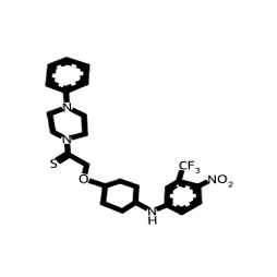 O=[N+]([O-])c1ccc(NC2CCC(OCC(=S)N3CCN(c4ccccc4)CC3)CC2)cc1C(F)(F)F